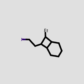 CCC1C(CCI)C2CCCCC12